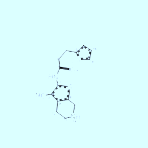 C[C@@H](CC(=O)Nc1sc2c(c1C#N)CCNC2)c1cccs1